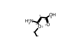 CCO/C(N)=C\C(=O)O